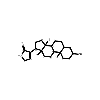 CC12CCC(O)CC1CCC1C2CCC2(C)C(C3=CCOC3=O)CCC12O